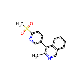 Cc1ncc2ccccc2c1-c1ccc(S(C)(=O)=O)nc1